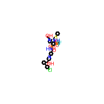 C[C@@]1(C[C@H](CSc2ccccc2)Nc2ccc(S(=O)(=O)NC(=O)c3ccc(N4CCC([C@@H](O)c5ccccc5-c5ccc(Cl)cc5)CC4)cc3)cc2S(=O)(=O)C(F)(F)F)CCCN1CCO